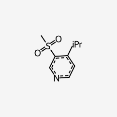 CC(C)c1ccncc1S(C)(=O)=O